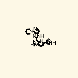 c1cc2[nH]c(-c3n[nH]c4ccc(-c5cn[nH]c5)nc34)nc2c(N2CCCCC2)n1